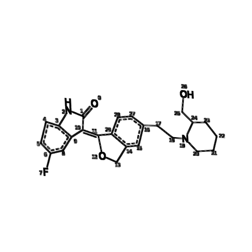 O=C1Nc2ccc(F)cc2C1=C1OCc2cc(CCN3CCCCC3CO)ccc21